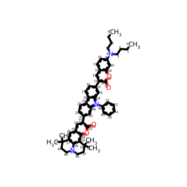 CCCCN(CCCC)c1ccc2cc(-c3ccc4c5ccc(-c6cc7cc8c9c(c7oc6=O)C(C)(C)CCN9CCC8(C)C)cc5n(-c5ccccc5)c4c3)c(=O)oc2c1